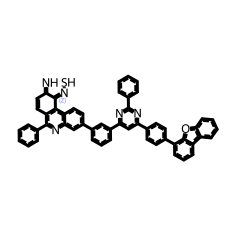 N=C1C=Cc2c(-c3ccccc3)nc3cc(-c4cccc(-c5cc(-c6ccc(-c7cccc8c7oc7ccccc78)cc6)nc(-c6ccccc6)n5)c4)ccc3c2/C1=N/S